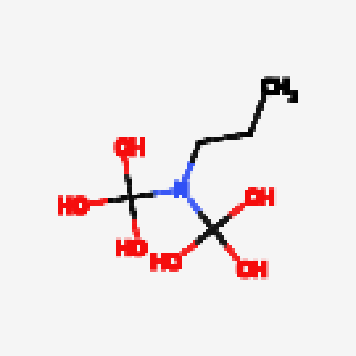 CCCN(C(O)(O)O)C(O)(O)O